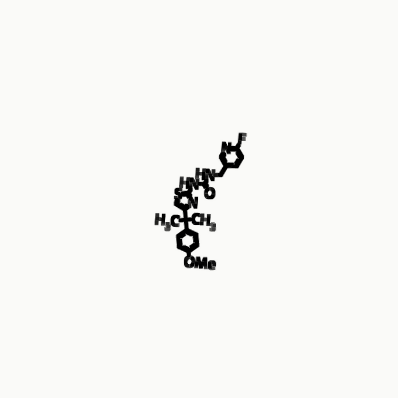 COc1ccc(C(C)(C)c2csc(NC(=O)NCc3ccc(F)nc3)n2)cc1